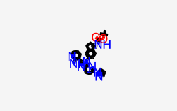 CC(C)(C)OC(=O)N[C@H]1CCc2cc(-n3c(-c4cccnc4N)nc4ccc(-n5cccn5)nc43)ccc21